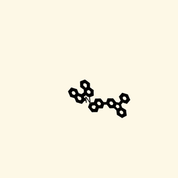 c1ccc(C2c3ccccc3-c3cc(-c4ccc5c(-n6c7ccc8ccccc8c7c7c8ccccc8ccc76)cccc5c4)ccc32)cc1